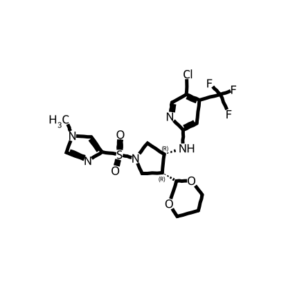 Cn1cnc(S(=O)(=O)N2C[C@H](Nc3cc(C(F)(F)F)c(Cl)cn3)[C@H](C3OCCCO3)C2)c1